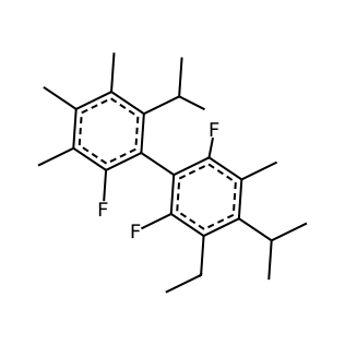 CCc1c(F)c(-c2c(F)c(C)c(C)c(C)c2C(C)C)c(F)c(C)c1C(C)C